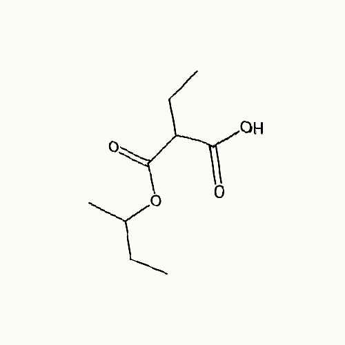 CCC(C)OC(=O)C(CC)C(=O)O